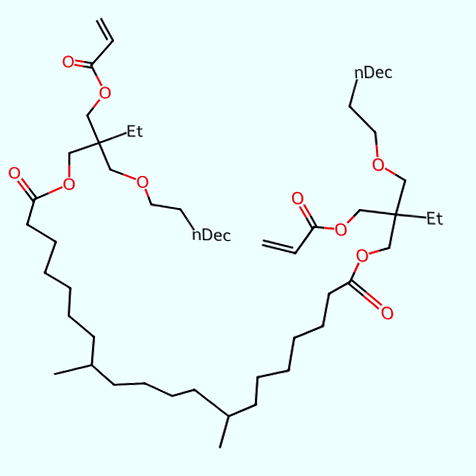 C=CC(=O)OCC(CC)(COCCCCCCCCCCCC)COC(=O)CCCCCCC(C)CCCCC(C)CCCCCCC(=O)OCC(CC)(COCCCCCCCCCCCC)COC(=O)C=C